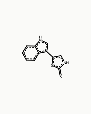 S=c1[nH]cc(-c2c[nH]c3ccccc23)s1